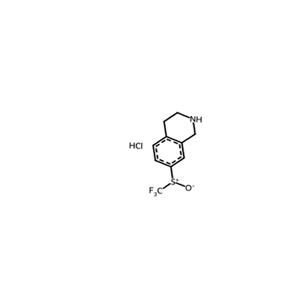 Cl.[O-][S+](c1ccc2c(c1)CNCC2)C(F)(F)F